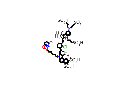 CC1(C)C(/C=C/C2=C(Cl)C(=C/C=C3/N(CCCCCC(=O)ON4C(=O)CCC4=O)c4ccc5c(S(=O)(=O)O)cc(S(=O)(=O)O)cc5c4C3(C)C)/CCC2)=[N+](CCCS(=O)(=O)O)c2ccc(N(CCCS(=O)(=O)O)CCCS(=O)(=O)O)cc21